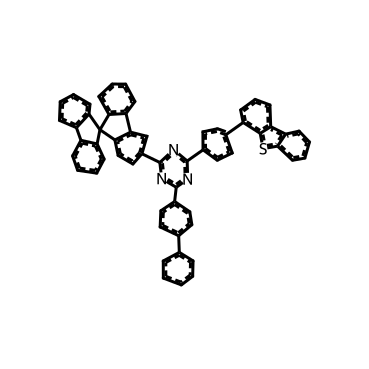 c1ccc(-c2ccc(-c3nc(-c4ccc(-c5cccc6c5sc5ccccc56)cc4)nc(-c4ccc5c(c4)-c4ccccc4C54c5ccccc5-c5ccccc54)n3)cc2)cc1